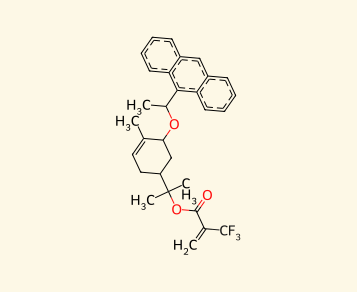 C=C(C(=O)OC(C)(C)C1CC=C(C)C(OC(C)c2c3ccccc3cc3ccccc23)C1)C(F)(F)F